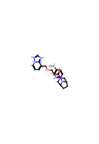 O=Cc1ccc(N2C3CCC2CN(C(=O)CCOCc2cccn4ncnc24)C3)nc1